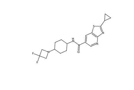 O=C(NC1CCC(N2CC(F)(F)C2)CC1)c1cnc2nc(C3CC3)sc2c1